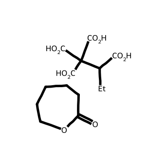 CCC(C(=O)O)C(C(=O)O)(C(=O)O)C(=O)O.O=C1CCCCCO1